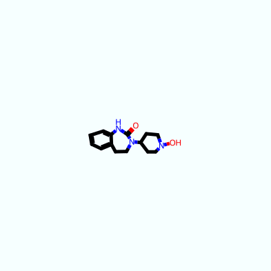 O=C1Nc2ccccc2CCN1C1CCN(O)CC1